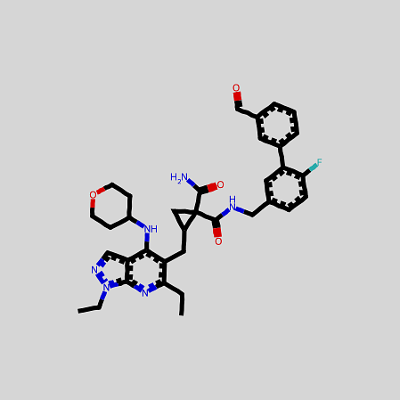 CCc1nc2c(cnn2CC)c(NC2CCOCC2)c1CC1CC1(C(N)=O)C(=O)NCc1ccc(F)c(-c2cccc(C=O)c2)c1